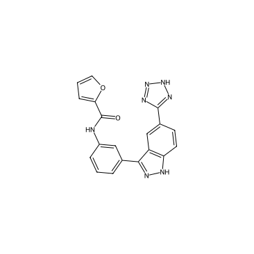 O=C(Nc1cccc(-c2n[nH]c3ccc(-c4nn[nH]n4)cc23)c1)c1ccco1